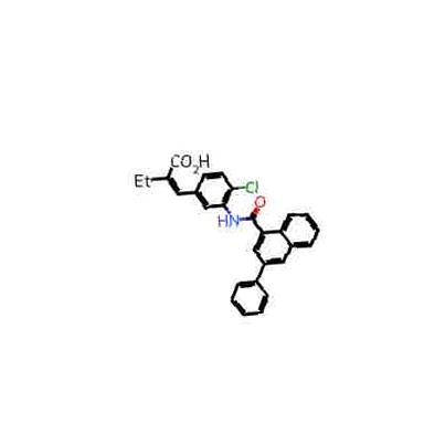 CCC(=Cc1ccc(Cl)c(NC(=O)c2cc(-c3ccccc3)cc3ccccc23)c1)C(=O)O